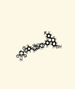 O=C1CCC(N2Cc3cc(N4CCN(CC5(O)CCN(c6ccc(C7c8ccc(O)cc8CCC7c7ccc(F)cc7)cc6)CC5)CC4)ccc3C2=O)C(=O)N1